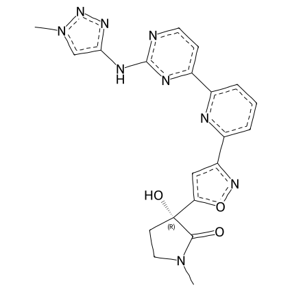 CN1CC[C@@](O)(c2cc(-c3cccc(-c4ccnc(Nc5cn(C)nn5)n4)n3)no2)C1=O